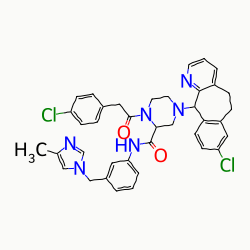 Cc1cn(Cc2cccc(NC(=O)C3CN(C4c5ccc(Cl)cc5CCc5cccnc54)CCN3C(=O)Cc3ccc(Cl)cc3)c2)cn1